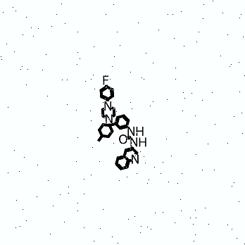 CC1CCC(c2cccc(NC(=O)Nc3cnc4ccccc4c3)c2)(N2CCN(c3ccc(F)cc3)CC2)CC1